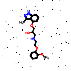 COc1ccccc1OCCNCC(O)COc1cccc2[nH]nc(C)c12